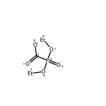 CCOP(=O)(OCC)C(=O)Cl